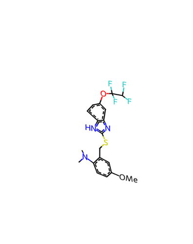 COc1ccc(N(C)C)c(CSc2nc3cc(OC(F)(F)C(F)F)ccc3[nH]2)c1